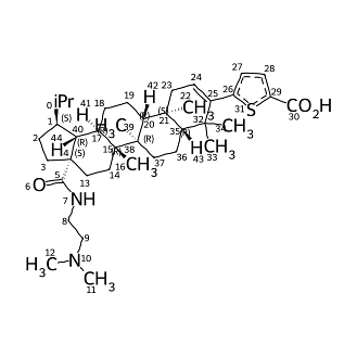 CC(C)[C@@H]1CC[C@]2(C(=O)NCCN(C)C)CC[C@]3(C)[C@H](CC[C@@H]4[C@@]5(C)CC=C(c6ccc(C(=O)O)s6)C(C)(C)[C@@H]5CC[C@]43C)[C@@H]12